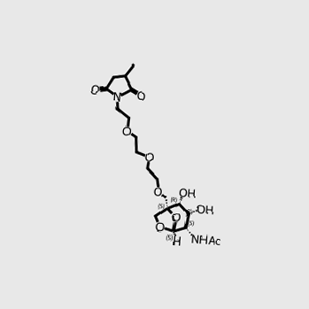 CC(=O)N[C@@H]1[C@H]2OC[C@](COCCOCCOCCN3C(=O)CC(C)C3=O)(O2)[C@H](O)[C@@H]1O